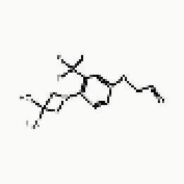 CC1(O)CN(c2ncc(OCC=O)cc2C(F)(F)F)C1